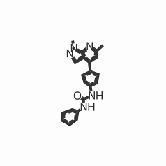 Cc1cc(-c2ccc(NC(=O)Nc3ccccc3)cc2)c2cnn(C)c2n1